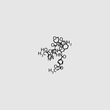 CCS(=O)(=O)c1ccc(C(=O)N[C@H](CC2CCCCC2)C(=O)N2C[C@@H](n3nncc3C(C)(C)O)C[C@H]2C(=O)NC2(C(=O)C(N)=O)CCOCC2)cc1